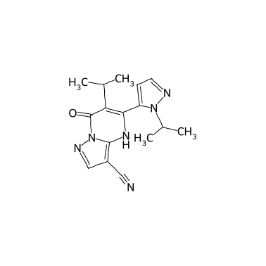 CC(C)c1c(-c2ccnn2C(C)C)[nH]c2c(C#N)cnn2c1=O